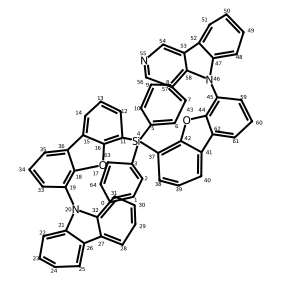 c1ccc([Si](c2ccccc2)(c2cccc3c2oc2c(-n4c5ccccc5c5ccccc54)cccc23)c2cccc3c2oc2c(-n4c5ccccc5c5cnccc54)cccc23)cc1